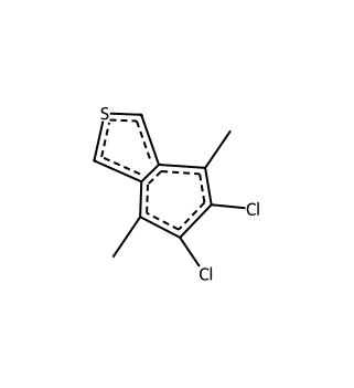 Cc1c(Cl)c(Cl)c(C)c2cscc12